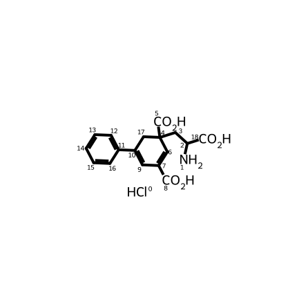 Cl.NC(CC1(C(=O)O)C=C(C(=O)O)C=C(c2ccccc2)C1)C(=O)O